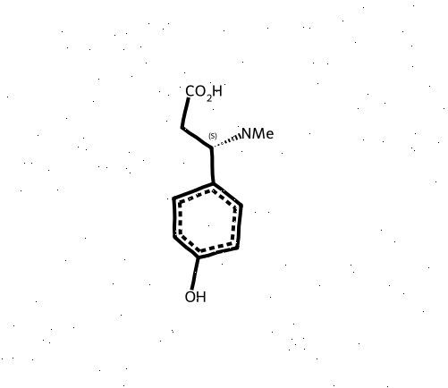 CN[C@@H](CC(=O)O)c1ccc(O)cc1